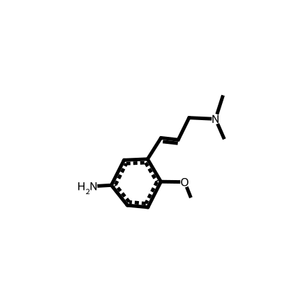 COc1ccc(N)cc1C=CCN(C)C